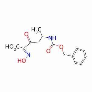 CC(CC(=O)C(=NO)C(=O)O)NC(=O)OCc1ccccc1